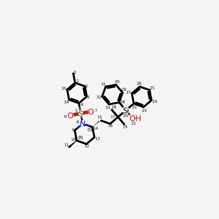 Cc1ccc(S(=O)(=O)N2C[C@H](C)CC[C@H]2CCC(C)(C)[Si](O)(c2ccccc2)c2ccccc2)cc1